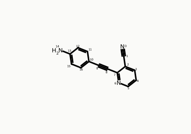 N#Cc1cccnc1C#Cc1ccc(N)cc1